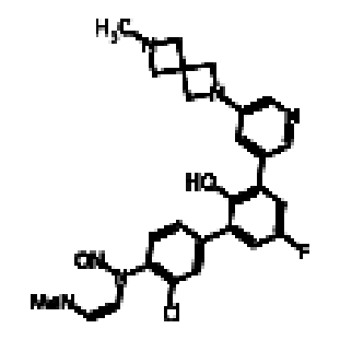 CN/C=C\N(N=O)c1ccc(-c2cc(F)cc(-c3cncc(N4CC5(CN(C)C5)C4)c3)c2O)cc1Cl